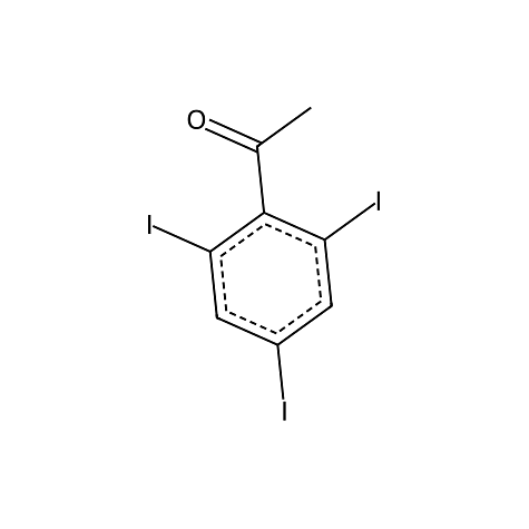 CC(=O)c1c(I)cc(I)cc1I